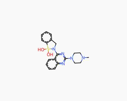 CN1CCN(c2nc(N3Cc4ccccc4S3(O)O)c3ccccc3n2)CC1